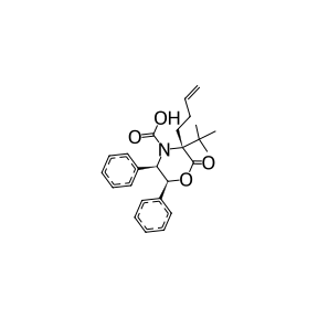 C=CCC[C@@]1(C(C)(C)C)C(=O)O[C@@H](c2ccccc2)[C@@H](c2ccccc2)N1C(=O)O